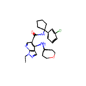 CCn1ncc2c(NC3CCOCC3)c(C(=O)NC3(c4cccc(Cl)c4)CCCC3)cnc21